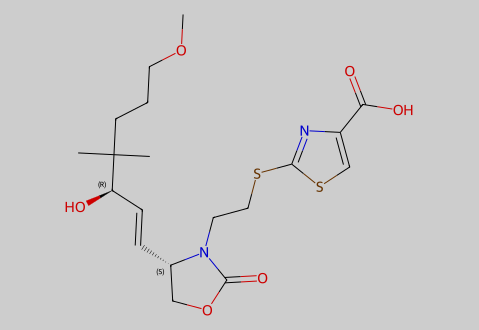 COCCCC(C)(C)[C@H](O)C=C[C@H]1COC(=O)N1CCSc1nc(C(=O)O)cs1